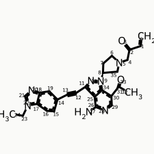 C=CC(=O)CN1CC[C@H](n2nc(C#Cc3ccc4c(c3)ncn4CC)c3c(N)ncc(C(C)=O)c32)C1